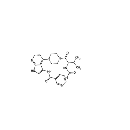 CC(C)C(NC(=O)O)C(=O)N1CCN(c2ccnc3[nH]cc(NC(=O)c4cccnc4)c23)CC1